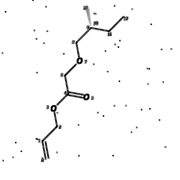 C=CCOC(=O)COC[C@H](C)CC